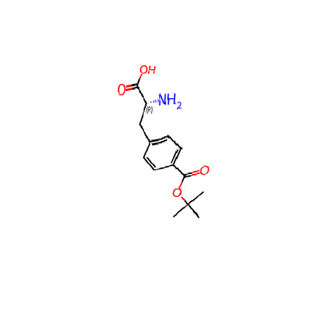 CC(C)(C)OC(=O)c1ccc(C[C@@H](N)C(=O)O)cc1